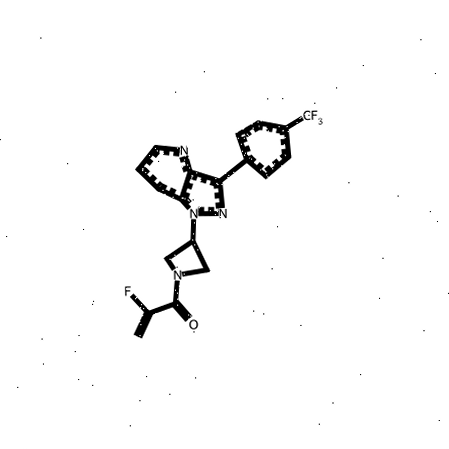 C=C(F)C(=O)N1CC(n2nc(-c3ccc(C(F)(F)F)cc3)c3ncccc32)C1